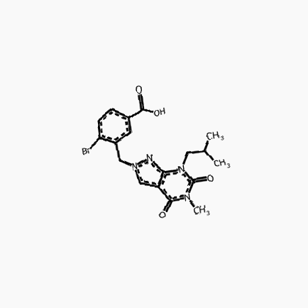 CC(C)Cn1c(=O)n(C)c(=O)c2cn(Cc3cc(C(=O)O)ccc3Br)nc21